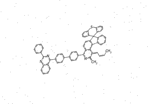 C=c1nc(-c2ccc(-c3ccc(-c4nc(-c5ccccc5)nc5ccccc45)cc3)cc2)c2ccc3c(c2/c1=C/C=C\C)-c1ccccc1C31c2ccccc2Sc2ccccc21